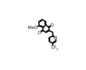 COc1cccc2c1C(=O)C=C(Cc1ccc(C(F)(F)F)cn1)C2=O